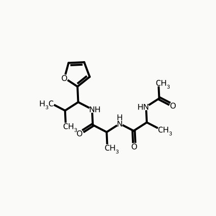 CC(=O)NC(C)C(=O)NC(C)C(=O)NC(c1ccco1)C(C)C